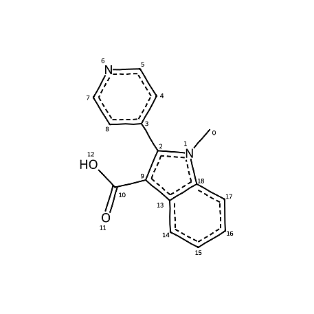 Cn1c(-c2ccncc2)c(C(=O)O)c2ccccc21